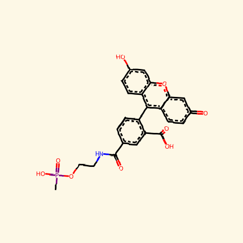 CP(=O)(O)OCCNC(=O)c1ccc(-c2c3ccc(=O)cc-3oc3cc(O)ccc23)c(C(=O)O)c1